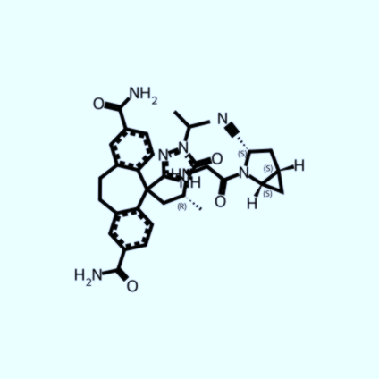 CC(C)n1nc(C2(C[C@@H](C)NCC(=O)N3[C@H](C#N)C[C@@H]4C[C@@H]43)c3ccc(C(N)=O)cc3CCc3cc(C(N)=O)ccc32)[nH]c1=O